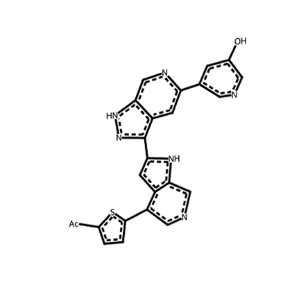 CC(=O)c1ccc(-c2cncc3[nH]c(-c4n[nH]c5cnc(-c6cncc(O)c6)cc45)cc23)s1